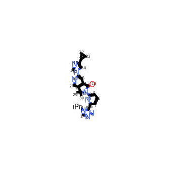 CC(C)n1cnnc1-c1cccc(N2C(=O)c3cc(-n4cnc(C5CC5)c4)ncc3C2(C)C)n1